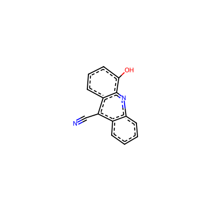 N#Cc1c2ccccc2nc2c(O)cccc12